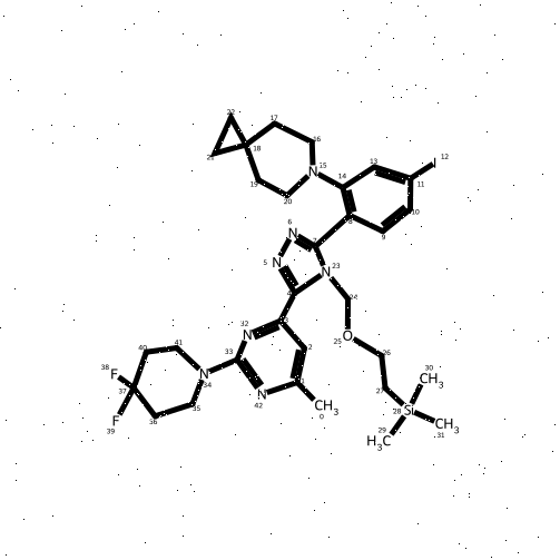 Cc1cc(-c2nnc(-c3ccc(I)cc3N3CCC4(CC3)CC4)n2COCC[Si](C)(C)C)nc(N2CCC(F)(F)CC2)n1